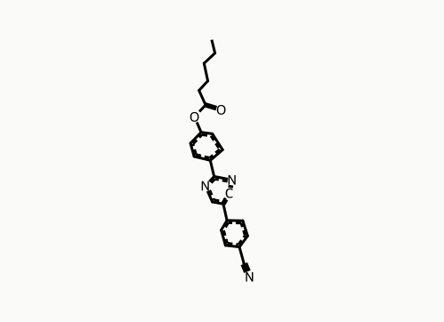 CCCCCC(=O)Oc1ccc(-c2ncc(-c3ccc(C#N)cc3)cn2)cc1